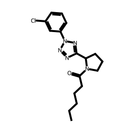 CCCCCC(=O)N1CCCC1c1nnn(-c2cccc(Cl)c2)n1